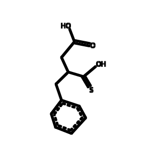 O=C(O)CC(Cc1ccccc1)C(O)=S